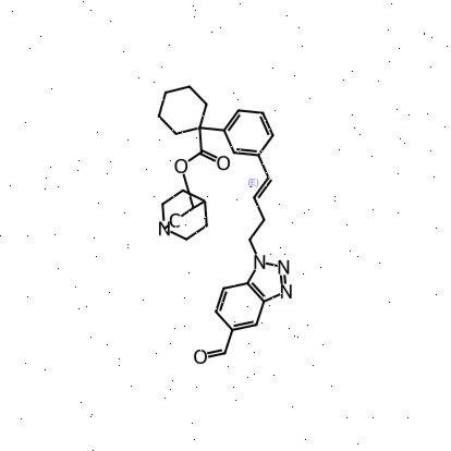 O=Cc1ccc2c(c1)nnn2CC/C=C/c1cccc(C2(C(=O)OC3CN4CCC3CC4)CCCCC2)c1